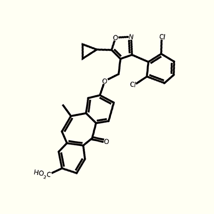 Cc1cc2cc(C(=O)O)ccc2c(=O)c2ccc(OCc3c(-c4c(Cl)cccc4Cl)noc3C3CC3)cc12